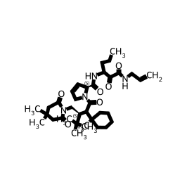 C=CCNC(=O)C(=O)C(CCC)NC(=O)[C@@H]1C=CCN1C(=O)C([C@H](CN1C(=O)CC(C)(C)CC1=O)C(C)(C)C)C1(C)CCCCC1